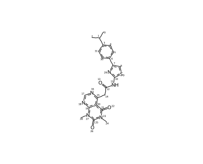 CC(C)c1ccc(-c2csc(NC(=O)Cc3ncnc4c3c(=O)n(C)c(=O)n4C)n2)cc1